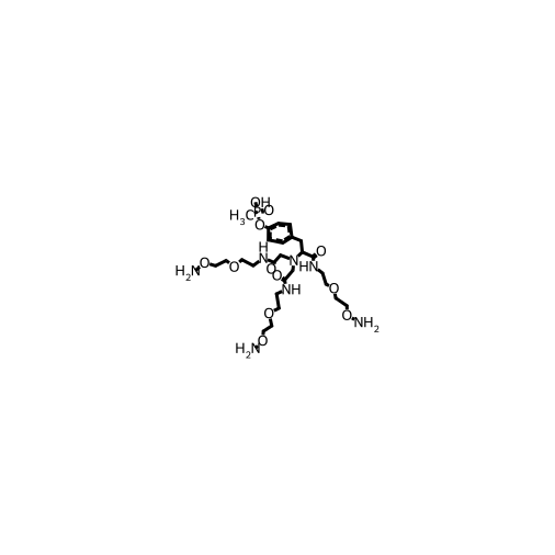 CP(=O)(O)Oc1ccc(CC(C(=O)NCCOCCON)N(CC(=O)NCCOCCON)CC(=O)NCCOCCON)cc1